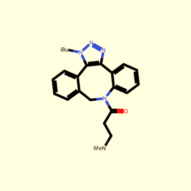 CCC(C)n1nnc2c1-c1ccccc1CN(C(=O)CCNC)c1ccccc1-2